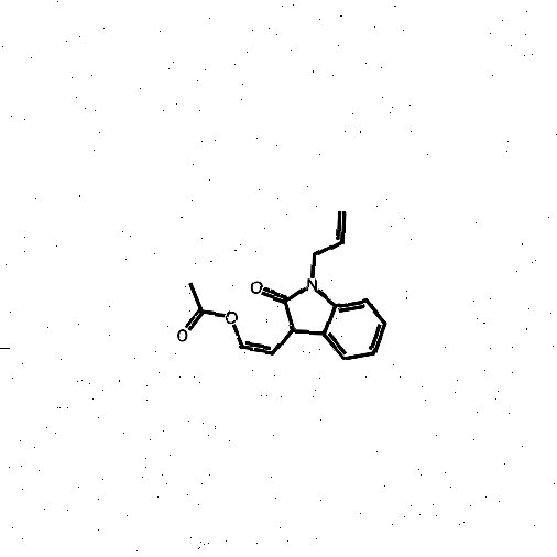 C=CCN1C(=O)C(/C=C\OC(C)=O)c2ccccc21